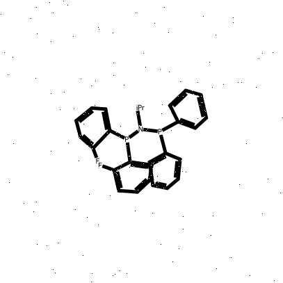 CC(C)N(P(c1ccccc1)c1ccccc1)P(c1ccccc1F)c1ccccc1F